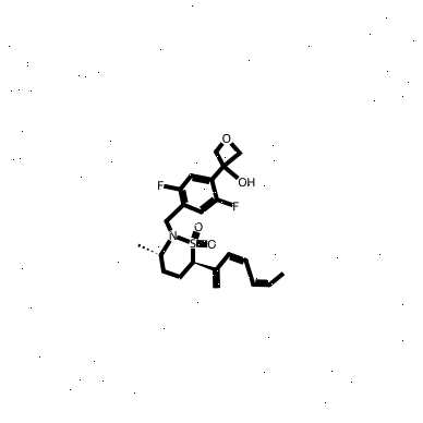 C=C(/C=C\C=C/C)[C@H]1CC[C@H](C)N(Cc2cc(F)c(C3(O)COC3)cc2F)S1(=O)=O